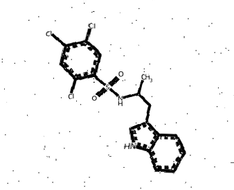 CC(Cc1c[nH]c2ccccc12)NS(=O)(=O)c1cc(Cl)c(Cl)cc1Cl